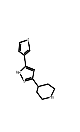 c1cc(-c2cc(C3CCNCC3)n[nH]2)cs1